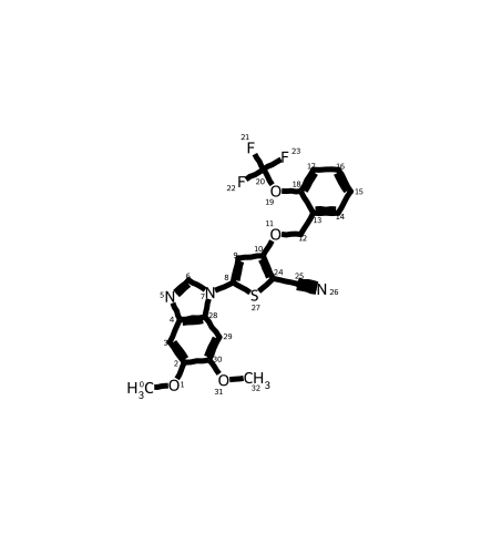 COc1cc2ncn(-c3cc(OCc4ccccc4OC(F)(F)F)c(C#N)s3)c2cc1OC